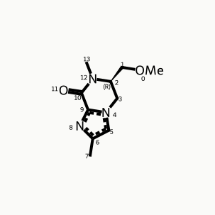 COC[C@H]1Cn2cc(C)nc2C(=O)N1C